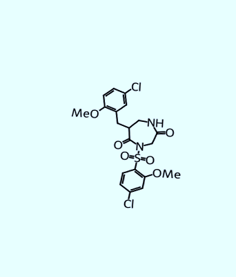 COc1ccc(Cl)cc1CC1CNC(=O)CN(S(=O)(=O)c2ccc(Cl)cc2OC)C1=O